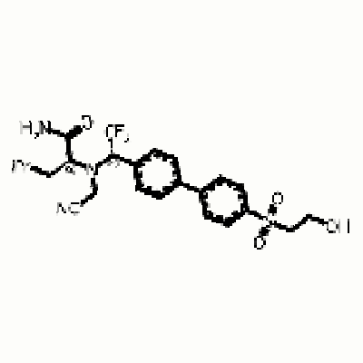 CC(C)C[C@@H](C(N)=O)N(CC#N)[C@@H](c1ccc(-c2ccc(S(=O)(=O)CCO)cc2)cc1)C(F)(F)F